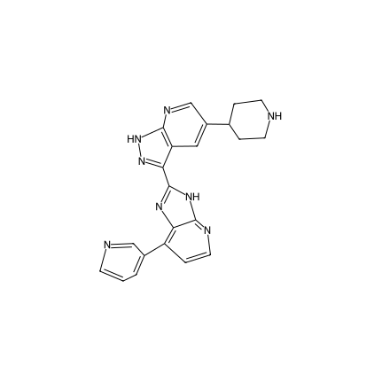 c1cncc(-c2ccnc3[nH]c(-c4n[nH]c5ncc(C6CCNCC6)cc45)nc23)c1